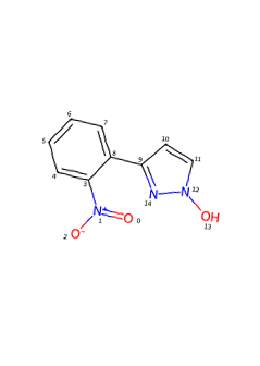 O=[N+]([O-])c1ccccc1-c1ccn(O)n1